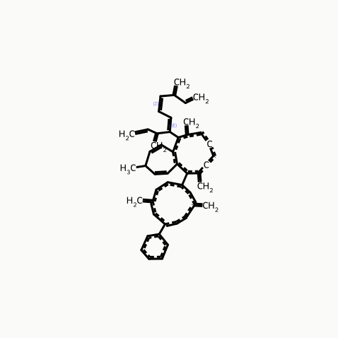 C=CC(=C)/C=C\C=C(/C(=C)C=C)c1c2c(c(-c3ccc(=C)cc(-c4ccccc4)ccc(=C)c3)c(=C)ccccc1=C)C=CC(C)C=C2